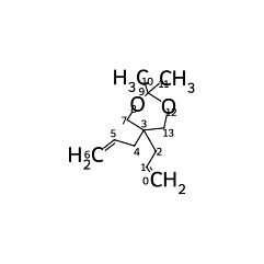 C=CCC1(CC=C)COC(C)(C)OC1